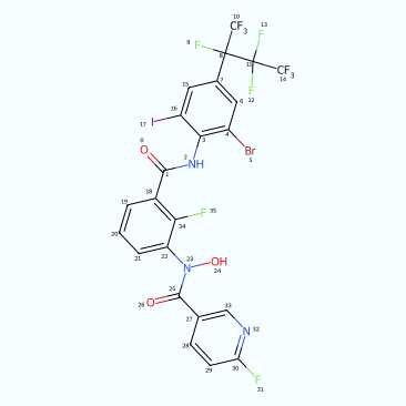 O=C(Nc1c(Br)cc(C(F)(C(F)(F)F)C(F)(F)C(F)(F)F)cc1I)c1cccc(N(O)C(=O)c2ccc(F)nc2)c1F